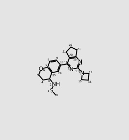 CSNC1CCOc2ccc(-c3nc(N4CCC4)nc4c3CCC4)cc21